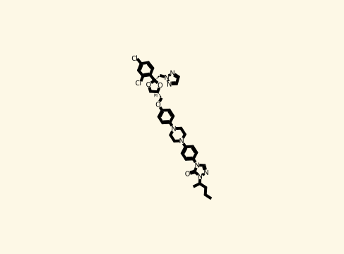 CCCC(C)n1ncn(-c2ccc(N3CCN(c4ccc(OC[C@@H]5CO[C@@](Cn6nccn6)(c6ccc(Cl)cc6Cl)O5)cc4)CC3)cc2)c1=O